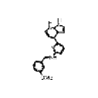 COc1cccc(CNc2cccc(C3C=CNC4NC=CC43)n2)c1